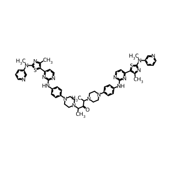 Cc1nc(N(C)c2cccnc2)sc1-c1ccnc(Nc2ccc(N3CCN(C(C)C(=O)C(C)N4CCN(c5ccc(Nc6nccc(-c7sc(N(C)c8cccnc8)nc7C)n6)cc5)CC4)CC3)cc2)n1